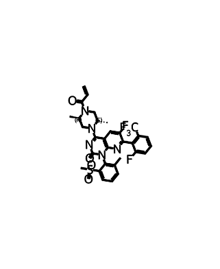 C=CC(=O)N1C[C@H](C)N(c2nc(=O)n(-c3c(C)cccc3S(C)(=O)=O)c3nc(-c4c(F)cccc4C(F)(F)F)c(F)cc23)C[C@H]1C